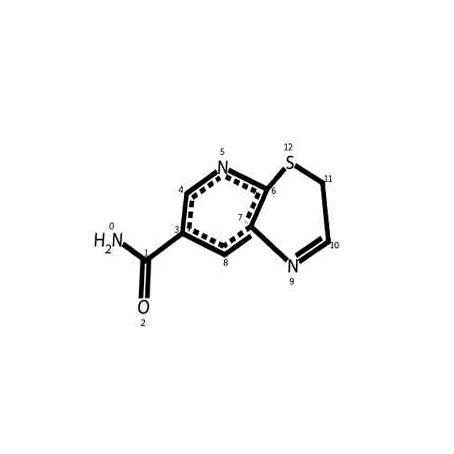 NC(=O)c1cnc2c(c1)N=CCS2